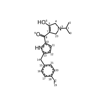 CC(C)N1CC(O)=C(C(=O)c2ccc(Cc3ccc(F)cc3)[nH]2)C1